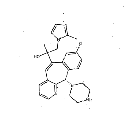 Cc1nccn1CC(C)(O)C1=Cc2cccnc2[C@@H](N2CCNCC2)c2ccc(Cl)cc21